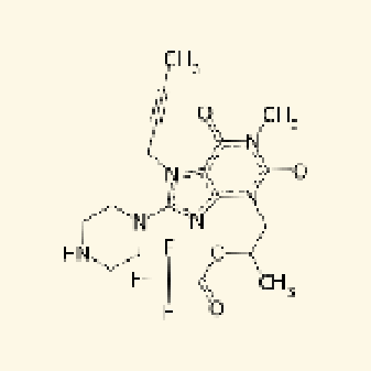 CC#CCn1c(N2CCNCC2)nc2c1c(=O)n(C)c(=O)n2CC(C)OC(=O)C(F)(F)F